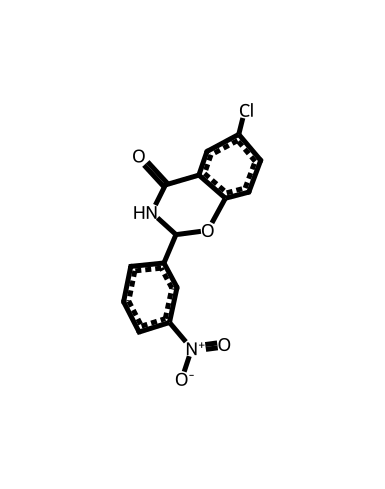 O=C1NC(c2cccc([N+](=O)[O-])c2)Oc2ccc(Cl)cc21